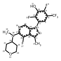 Cc1nn(-c2cc(C(F)(F)F)c(F)c(O)c2F)c2cnc(N(C)C3CCOCC3)c(F)c12